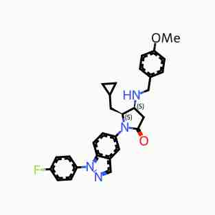 COc1ccc(CN[C@H]2CC(=O)N(c3ccc4c(cnn4-c4ccc(F)cc4)c3)[C@H]2CC2CC2)cc1